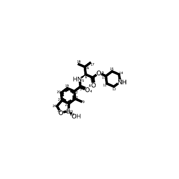 Cc1c(C(=O)N[C@H](C(=O)OC2CCNCC2)C(C)C)ccc2c1B(O)OC2